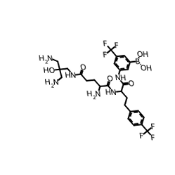 NCC(O)(CN)CNC(=O)CCC(N)C(=O)NC(CCc1ccc(C(F)(F)F)cc1)C(=O)Nc1cc(B(O)O)cc(C(F)(F)F)c1